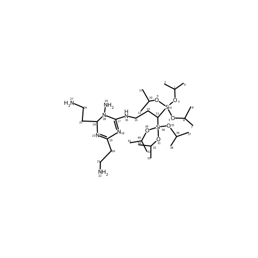 CC(C)O[Si](OC(C)C)(OC(C)C)C(CCNC1=NC(CCN)=NC(CCN)N1N)[Si](OC(C)C)(OC(C)C)OC(C)C